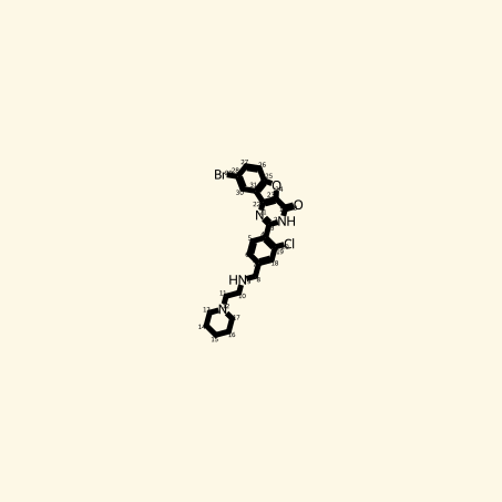 O=c1[nH]c(-c2ccc(CNCCN3CCCCC3)cc2Cl)nc2c1oc1ccc(Br)cc12